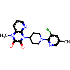 Cn1c(=O)c(=O)n(C2CCN(c3ncc(C#N)cc3Br)CC2)c2ncccc21